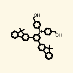 CC1(C)c2ccccc2-c2ccc(-c3cc(-c4ccc5c(c4)C(C)(C)c4ccccc4-5)cc(N(c4ccc(CO)cc4)c4ccc(CO)cc4)c3)cc21